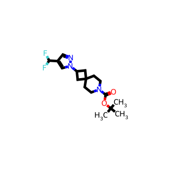 CC(C)(C)OC(=O)N1CCC2(CC1)CC(n1cc(C(F)F)cn1)C2